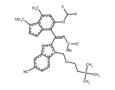 Cc1cc(OC(F)F)c(C(=N[S+]([O-])C(C)(C)C)c2nc3cc(C#N)ccc3n2COCC[Si](C)(C)C)c2ccn(C(=O)O)c12